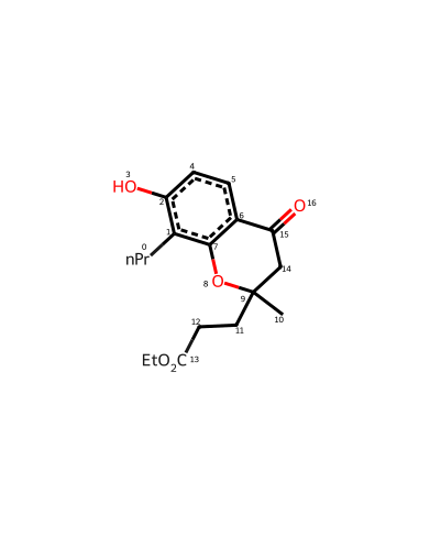 CCCc1c(O)ccc2c1OC(C)(CCC(=O)OCC)CC2=O